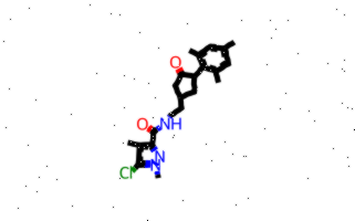 Cc1cc(C)c(C2CC(CCNC(=O)c3nn(C)c(Cl)c3C)CC2=O)c(C)c1